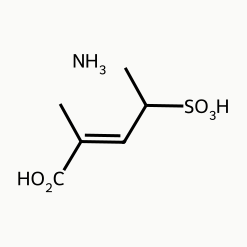 CC(=CC(C)S(=O)(=O)O)C(=O)O.N